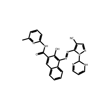 Cc1cccc(NC(=O)c2cc3ccccc3c(/N=N/c3c(C#N)cnn3C3N=CC=CN3)c2O)n1